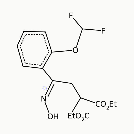 CCOC(=O)C(C/C(=N\O)c1ccccc1OC(F)F)C(=O)OCC